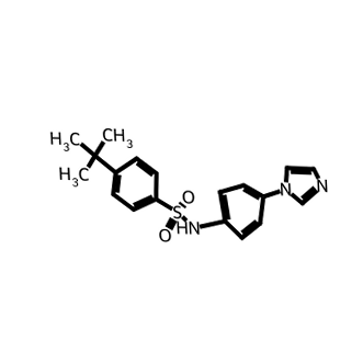 CC(C)(C)c1ccc(S(=O)(=O)Nc2ccc(-n3ccnc3)cc2)cc1